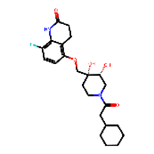 O=C1CCc2c(OC[C@]3(O)CCN(C(=O)CC4CCCCC4)C[C@H]3O)ccc(F)c2N1